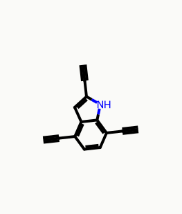 C#Cc1cc2c(C#C)ccc(C#C)c2[nH]1